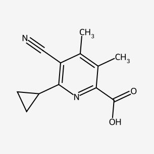 Cc1c(C(=O)O)nc(C2CC2)c(C#N)c1C